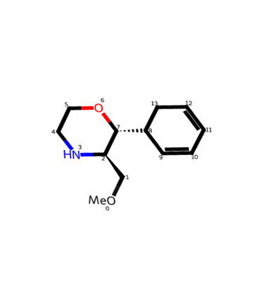 COC[C@H]1NCCO[C@@H]1C1C=CC=CC1